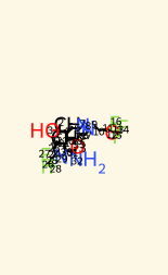 CC(C)(O)c1cc2nn(CCCOC(F)(F)F)cc2cc1-c1ccc(C(F)(F)F)nc1C(N)=O